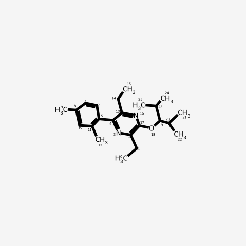 CCc1nc(-c2ccc(C)cc2C)c(CC)nc1OC(C(C)C)C(C)C